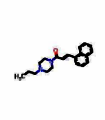 CCCN1CCN(C(=O)/C=C/c2cccc3ccccc23)CC1